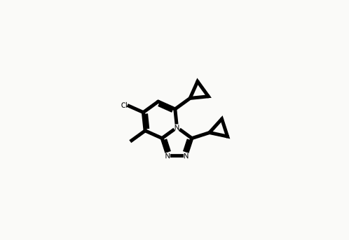 Cc1c(Cl)cc(C2CC2)n2c(C3CC3)nnc12